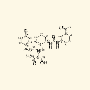 CC(=O)c1cccc(NC(=O)N[C@@H]2CCCC[C@H]2CN2C[C@H](Cc3ccc(F)cc3)NC(=O)[C@H]2CO)c1